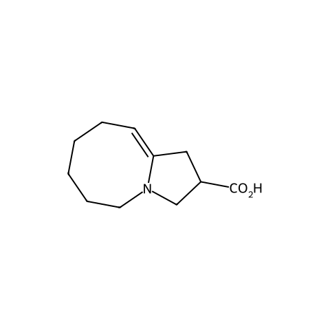 O=C(O)C1CC2=CCCCCCN2C1